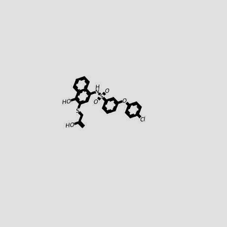 C=C(O)CSc1cc(NS(=O)(=O)c2cccc(Oc3ccc(Cl)cc3)c2)c2ccccc2c1O